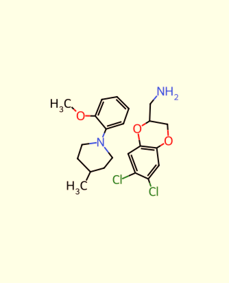 COc1ccccc1N1CCC(C)CC1.NCC1COc2cc(Cl)c(Cl)cc2O1